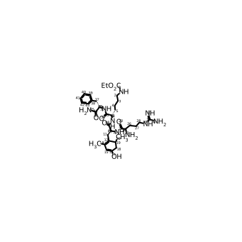 CCOC(=O)NCCCC[C@H](NC(=O)[C@H](CC1=C(C)C=C(O)CC1C)NC(=O)[C@H](N)CCCNC(=N)N)C(=O)N[C@@H](Cc1ccccc1)C(N)=O